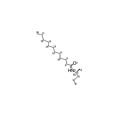 [CH2]CC[C@H]([CH2])NC(=O)CCCCCCCCCCC